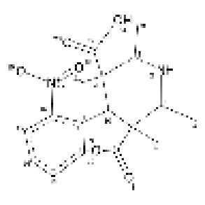 CC1NC(C)C(C)(C(=O)O)C(c2ccccc2[N+](=O)[O-])C1(C)C(=O)O